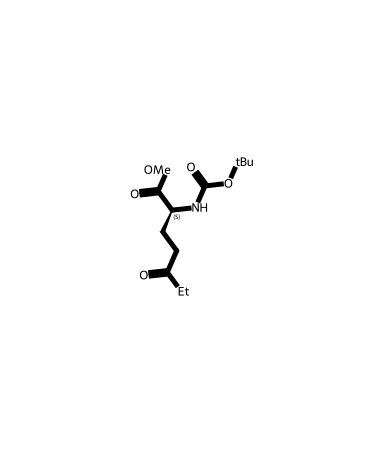 CCC(=O)CC[C@H](NC(=O)OC(C)(C)C)C(=O)OC